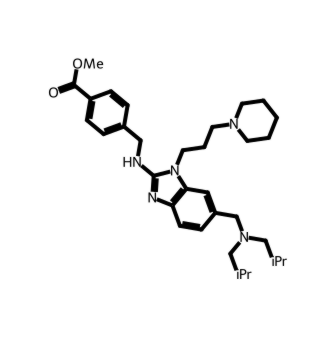 COC(=O)c1ccc(CNc2nc3ccc(CN(CC(C)C)CC(C)C)cc3n2CCCN2CCCCC2)cc1